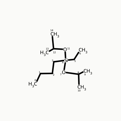 CCCC[Si](CC)(OC(C)C)OC(C)C